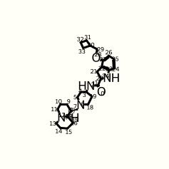 O=C(NC1CCN(C[C@@H]2CCCN3CCCC[C@H]23)CC1)C1Cc2c(cccc2OCC2CCC2)N1